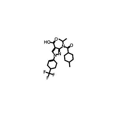 CC1CCC(C(=O)N(c2nn(C3=CCC(C(F)(F)F)CC3)cc2C(=O)O)C(C)C)CC1